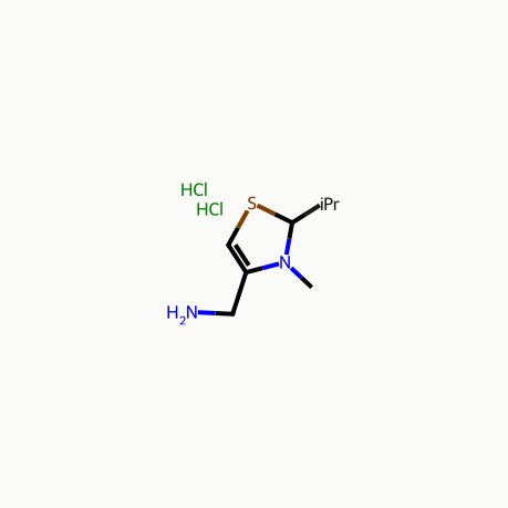 CC(C)C1SC=C(CN)N1C.Cl.Cl